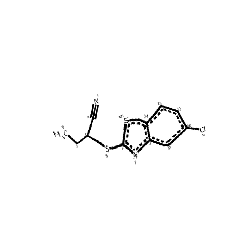 CCC(C#N)Sc1nc2cc(Cl)ccc2s1